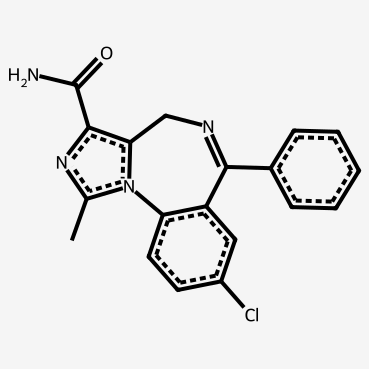 Cc1nc(C(N)=O)c2n1-c1ccc(Cl)cc1C(c1ccccc1)=NC2